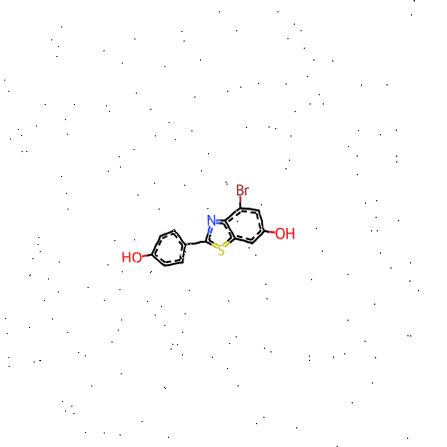 Oc1ccc(-c2nc3c(Br)cc(O)cc3s2)cc1